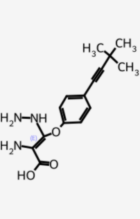 CC(C)(C)C#Cc1ccc(O/C(NN)=C(/N)C(=O)O)cc1